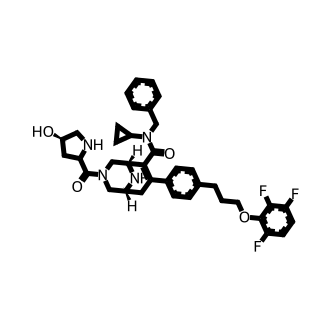 O=C(C1C[C@@H](O)CN1)N1C[C@H]2CC(c3ccc(CCCOc4c(F)ccc(F)c4F)cc3)=C(C(=O)N(Cc3ccccc3)C3CC3)[C@@H](C1)N2